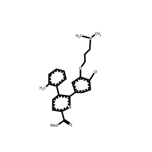 COC(=O)c1ccc(-c2ccccc2C)c(-c2ccc(Cl)c(OCCCN(C)C)c2)n1